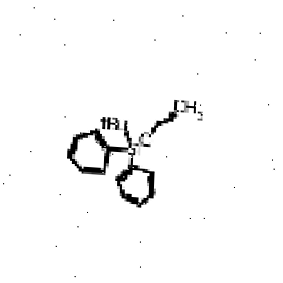 C=CCO[Si](c1ccccc1)(c1ccccc1)C(C)(C)C